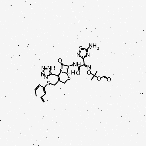 C=C/C=C(\C=C/C)SCC1=C(c2nnn[nH]2)N2C(=O)[C@@H](NC(=O)/C(=N\OC(C)(C)OC=O)c3nsc(N)n3)[C@H]2SC1